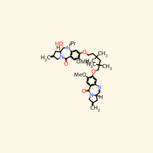 C=C1C[C@H]2C=Nc3cc(OCC(C)(C)CC(C)(C)CCOc4cc5c(cc4OC)C(=O)N4CC(=C)C[C@H]4[C@H](O)N5C(C)C)c(OC)cc3C(=O)N2C1